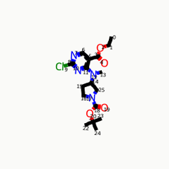 CCOC(=O)c1cnc(Cl)nc1N(C)C1CCN(C(=O)OC(C)(C)C)C1